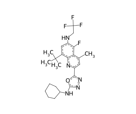 Cc1cc(-c2nnc(NC3CCCCC3)o2)nc2c(C(C)(C)C)cc(NCC(F)(F)F)c(F)c12